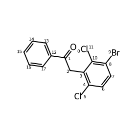 O=C(Cc1c(Cl)ccc(Br)c1Cl)c1ccccc1